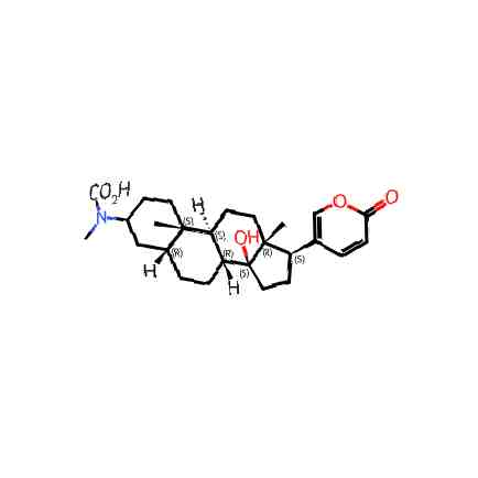 CN(C(=O)O)C1CC[C@@]2(C)[C@H](CC[C@@H]3[C@@H]2CC[C@]2(C)[C@@H](c4ccc(=O)oc4)CC[C@]32O)C1